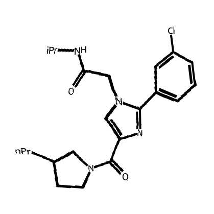 CCCC1CCN(C(=O)c2cn(CC(=O)NC(C)C)c(-c3cccc(Cl)c3)n2)C1